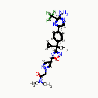 CN(C)C(=O)Cn1cc(-c2nc(C(C)(c3ccc(-c4cnc(N)c(C(F)(F)F)n4)cc3)C3CC3)no2)cn1